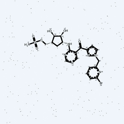 NS(=O)(=O)OC[C@H]1C[C@@H](Nc2ncncc2C(=O)c2ccn(Cc3cccc(Br)n3)n2)[C@H](O)[C@@H]1O